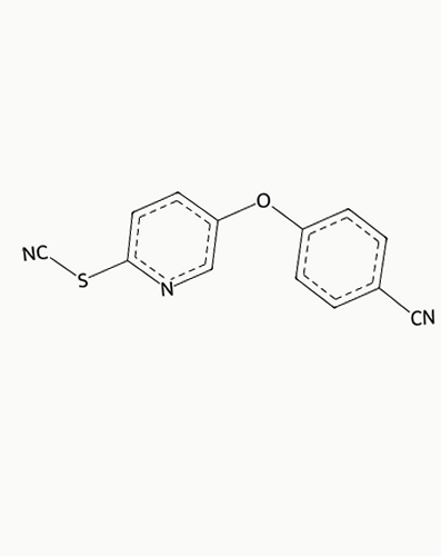 N#CSc1ccc(Oc2ccc(C#N)cc2)cn1